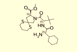 COC(=O)[C@@H]1CC2(CN1C(=O)[C@@H](NC(=O)[C@@H](N)C1CCCCC1)C(C)(C)C)SCCCS2